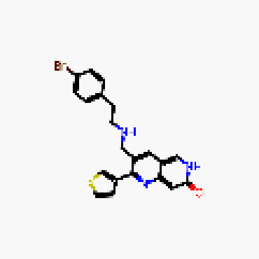 O=c1cc2nc(-c3ccsc3)c(CNCCc3ccc(Br)cc3)cc2c[nH]1